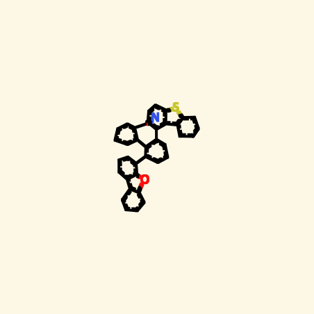 N#Cc1ccccc1-c1c(-c2cccc3c2oc2ccccc23)cccc1-c1cccc2sc3ccccc3c12